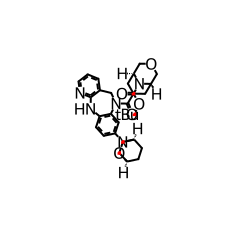 CC(C)(C)OC(=O)N1[C@@H]2COC[C@@H]1CC(C(=O)N1Cc3cccnc3Nc3ccc(N4C[C@@H]5CC[C@H]4CO5)cc31)C2